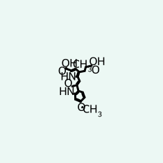 COc1ccc2c(c1)NC(=O)C2=Cc1[nH]c(C(=O)O)c(C)c1CCC(=O)O